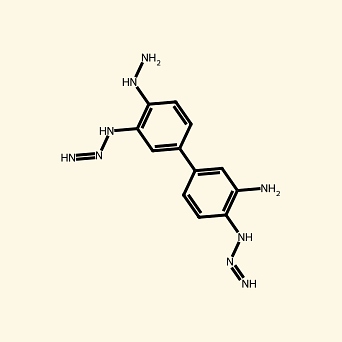 N=NNc1ccc(-c2ccc(NN)c(NN=N)c2)cc1N